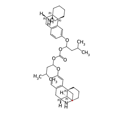 CC(C)CC(OC(=O)OC(CC(C)C)Oc1ccc2c(c1)[C@@]13CCCC[C@H]1[C@@H](C2)NCC3)Oc1ccc2c(c1)[C@@]13CCCC[C@H]1[C@@H](C2)NCC3